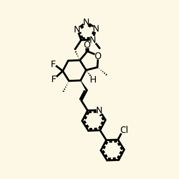 C[C@H]1OC(=O)[C@]2(Cc3nnnn3C)CC(F)(F)[C@@H](C)[C@H](/C=C/c3ccc(-c4ccccc4Cl)cn3)[C@H]12